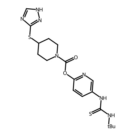 CC(C)(C)NC(=S)Nc1ccc(OC(=O)N2CCC(Sc3nc[nH]n3)CC2)nc1